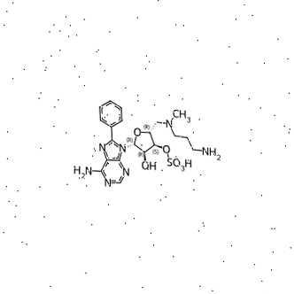 CN(CCCN)C[C@H]1O[C@@H](n2c(-c3ccccc3)nc3c(N)ncnc32)[C@H](O)[C@@H]1OS(=O)(=O)O